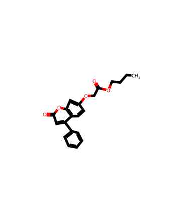 CCCCOC(=O)COc1ccc2c(-c3ccccc3)cc(=O)oc2c1